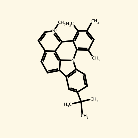 Cc1cc(C)c2c(c1C)c1c3c(ccc4c5cc(C(C)(C)C)ccc5n2c43)cc[n+]1C